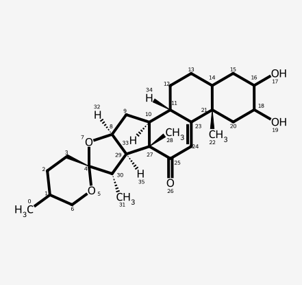 CC1CC[C@@]2(OC1)O[C@H]1C[C@H]3[C@@H]4CCC5CC(O)C(O)C[C@]5(C)C4=CC(=O)[C@]3(C)[C@H]1[C@@H]2C